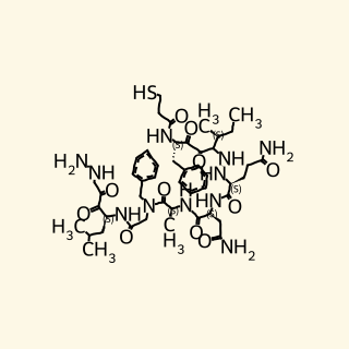 CC[C@H](C)C(NN[C@@H](CCC(N)=O)C(=O)N[C@@H](CC(N)=O)C(=O)N[C@@H](C)C(=O)N(CC(=O)N[C@@H](CC(C)C)C(=O)C(=O)CNN)Cc1ccccc1)C(=O)C(=O)[C@H](Cc1ccccc1)NC(=O)CCS